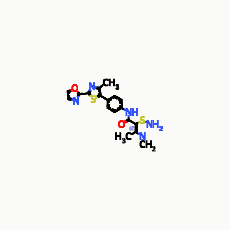 C=N/C(C)=C(\SN)C(=O)Nc1ccc(-c2sc(-c3ncco3)nc2C)cc1